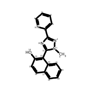 Cn1nc(-c2ccccn2)nc1-c1c(O)ccc2ccccc12